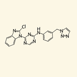 Clc1nc2ccccc2n1-c1ncnc(Nc2cccc(Cn3ccnn3)c2)n1